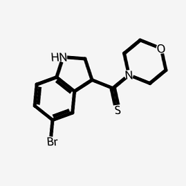 S=C(C1CNc2ccc(Br)cc21)N1CCOCC1